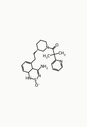 CC(C)(C(=O)N1CCC[C@H](CCC2=CC=CC3N[S+]([O-])N=C(N)C23)C1)c1ccccn1